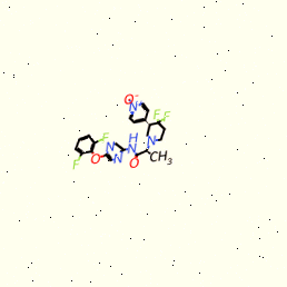 C[C@@H](C(=O)Nc1cnc(Oc2c(F)cccc2F)cn1)N1CCC(F)(F)[C@@H](c2cc[n+]([O-])cc2)C1